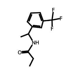 CCC(=O)NC(C)c1cccc(C(F)(F)F)c1